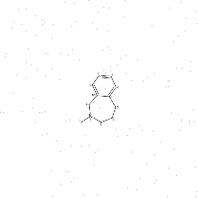 CN1CCCc2ccccc2C1